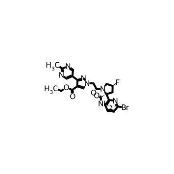 CCOC(=O)c1cn(CC(=O)N2C[C@H](F)C[C@@]2(C(N)=O)c2cccc(Br)n2)nc1-c1cnc(C)nc1